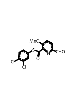 COc1ccc(C=O)nc1C(=O)Sc1ccc(Cl)c(Cl)c1